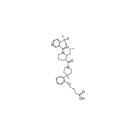 CCCC1C(C(=O)N2CCC(C)(c3ccccc3OCCCC(=O)O)CC2)CCCN1C(=O)c1cnccc1C(F)(F)F